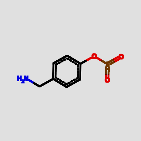 NCc1ccc(O[SH](=O)=O)cc1